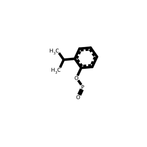 CC(C)c1ccccc1OP=O